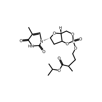 Cc1cn([C@H]2CC3OP(=O)(OCCC(C)C(=O)OC(C)C)OC[C@H]3O2)c(=O)[nH]c1=O